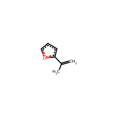 [CH2]C(=C)c1ccco1